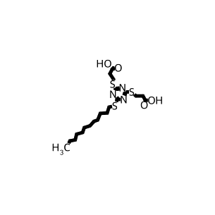 CCCCCCCCCCCCSc1nc(SCCC(=O)O)nc(SCCC(=O)O)n1